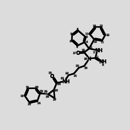 N=C1NC(c2ccccc2)(c2ccccc2)C(=O)N1CCCCNC(=O)C1C[C@H]1c1ccccc1